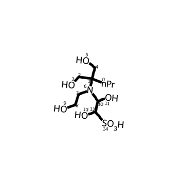 CCCC(CO)(CO)N(CCO)C(O)C(O)S(=O)(=O)O